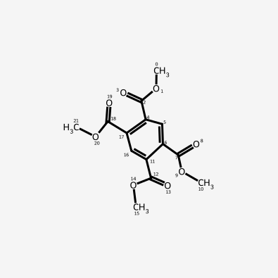 COC(=O)c1cc(C(=O)OC)c(C(=O)OC)cc1C(=O)OC